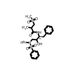 CCCN(CC(O)[C@H](Cc1ccccc1)NC(=O)C(C)CS(C)(=O)=O)S(=O)(=O)c1ccccc1